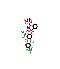 CO/N=C(/C(=O)OC)c1ccccc1COc1cc(Cl)c(Oc2ccc(C(F)(F)F)cc2)c(Cl)c1